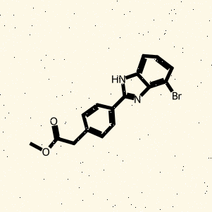 COC(=O)Cc1ccc(-c2nc3c(Br)cccc3[nH]2)cc1